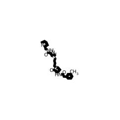 Cc1cccc(CC(=O)Nc2ccn(CCCCn3cc(C(=O)NCc4ccccn4)nn3)c(=O)c2)c1